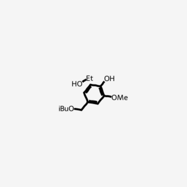 CCO.COc1cc(COCC(C)C)ccc1O